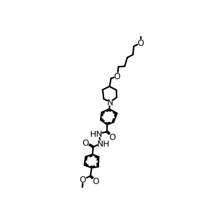 COCCCCCOCC1CCN(c2ccc(C(=O)NNC(=O)c3ccc(C(=O)OC)cc3)cc2)CC1